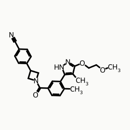 COCCOc1n[nH]c(-c2cc(C(=O)N3CC(c4ccc(C#N)cc4)C3)ccc2C)c1C